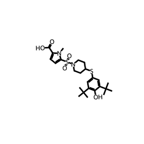 Cn1c(C(=O)O)ccc1S(=O)(=O)N1CCC(Sc2cc(C(C)(C)C)c(O)c(C(C)(C)C)c2)CC1